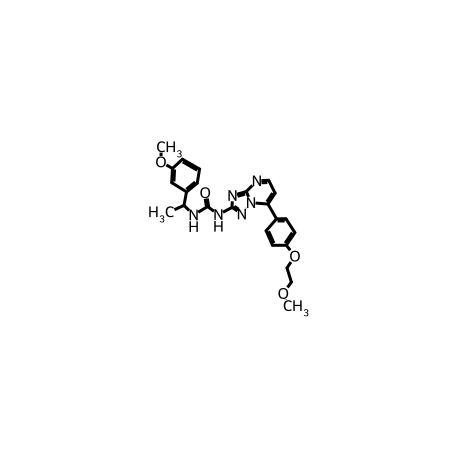 COCCOc1ccc(-c2ccnc3nc(NC(=O)NC(C)c4cccc(OC)c4)nn23)cc1